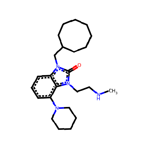 CNCCn1c(=O)n(CC2CCCCCCC2)c2cccc(N3CCCCC3)c21